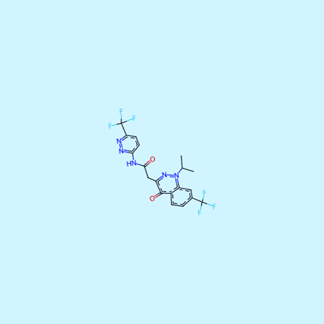 CC(C)n1nc(CC(=O)Nc2ccc(C(F)(F)F)nn2)c(=O)c2ccc(C(F)(F)F)cc21